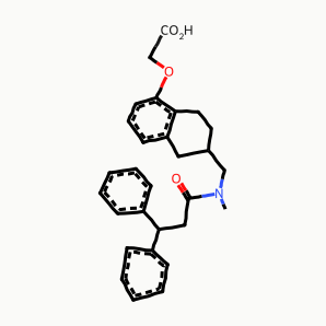 CN(CC1CCc2c(cccc2OCC(=O)O)C1)C(=O)CC(c1ccccc1)c1ccccc1